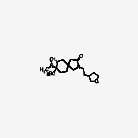 CCCCC1(N(C)C)CCC2(CC1)CC(=O)N(CCC1CCOC1)C2